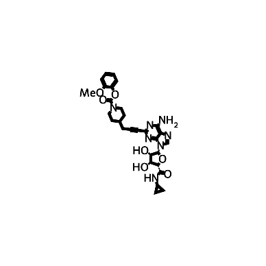 COc1ccccc1OC(=O)N1CCC(CC#Cc2nc(N)c3ncn([C@@H]4O[C@H](C(=O)NC5CC5)[C@@H](O)[C@H]4O)c3n2)CC1